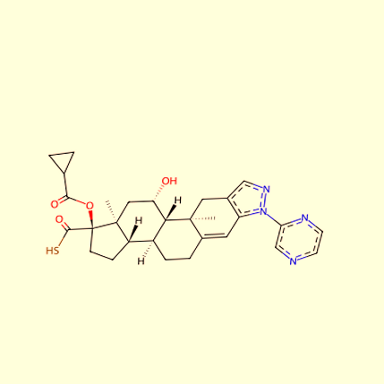 C[C@]12Cc3cnn(-c4cnccn4)c3C=C1CC[C@@H]1[C@@H]2[C@@H](O)C[C@@]2(C)[C@H]1CC[C@]2(OC(=O)C1CC1)C(=O)S